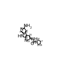 Nc1cc2c(cn1)[nH]c1ncc(NC(=O)N3CCCC3)cc12